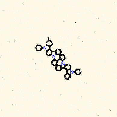 CC1CCC2=C(C1)N(C1=CCCC=C1)C1=CC=C3C(c4ccccc4N3c3ccccc3-c3ccccc3-n3c4c(c5ccccc53)=C3c5ccccc5N(c5ccccc5)C3CC=4)C12